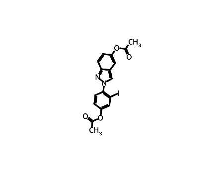 CC(=O)Oc1ccc(-n2cc3cc(OC(C)=O)ccc3n2)c(I)c1